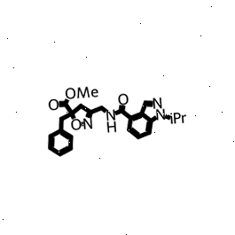 COC(=O)C1(Cc2ccccc2)CC(CNC(=O)c2cccc3c2cnn3C(C)C)=NO1